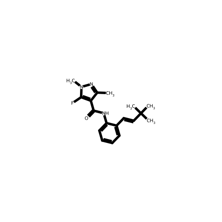 Cc1nn(C)c(F)c1C(=O)Nc1ccccc1/C=C/C(C)(C)C